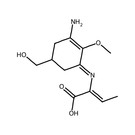 C/C=C(\N=C1/CC(CO)CC(N)=C1OC)C(=O)O